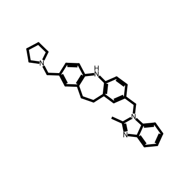 Cc1nc2ccccc2n1Cc1ccc2c(c1)CCc1cc(CN3CCCC3)ccc1N2